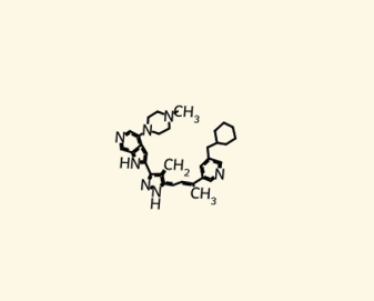 C=c1c(-c2cc3c(N4CCN(C)CC4)cncc3[nH]2)n[nH]/c1=C/C=C(\C)c1cncc(CC2CCCCC2)c1